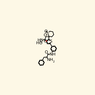 N[C@@H](Cc1ccccc1)C(=O)Nc1cccc(-c2ccc([C@@]3(CC(=O)NO)CCCCS3(=O)=O)s2)c1